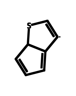 [C]1=CSC2C=CC=C12